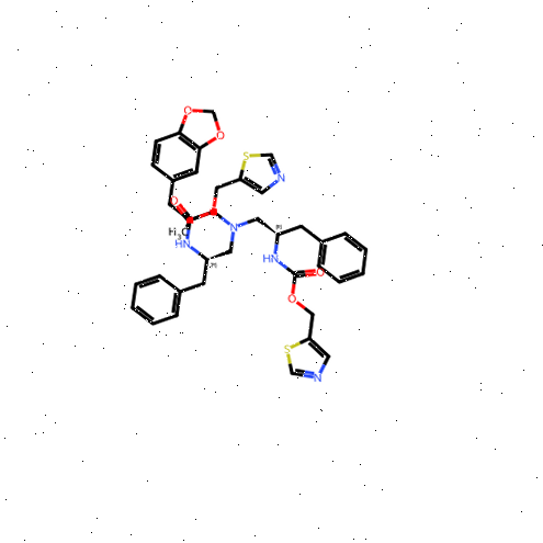 CC(Cc1ccc2c(c1)OCO2)CN(C[C@@H](Cc1ccccc1)NC(=O)OCc1cncs1)C[C@@H](Cc1ccccc1)NC(=O)OCc1cncs1